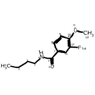 CCCCNC(=O)c1ccc(OC)c(F)c1